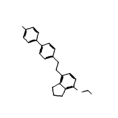 O=C(O)COc1ccc(CCc2ccc(-c3ccc(C(F)(F)F)cc3)cc2)c2c1CCC2